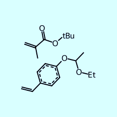 C=C(C)C(=O)OC(C)(C)C.C=Cc1ccc(OC(C)OCC)cc1